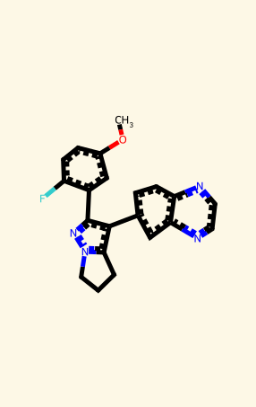 COc1ccc(F)c(-c2nn3c(c2-c2ccc4nccnc4c2)CCC3)c1